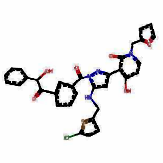 O=C(c1cccc(C(=O)n2nc(-c3c(O)ccn(Cc4ccco4)c3=O)cc2NCc2ccc(Cl)s2)c1)C(O)c1ccccc1